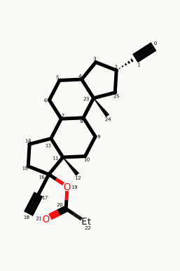 C#C[C@H]1CC2CCC3C(CC[C@@]4(C)C3CCC4(C#C)OC(=O)CC)[C@@]2(C)C1